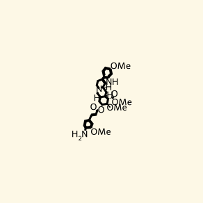 COC(=O)[C@H]1[C@H]2C[C@@H]3c4[nH]c5cc(OC)ccc5c4CCN3C[C@H]2C[C@@H](OC(=O)/C=C/c2ccc(N)c(OC)c2)[C@@H]1OC